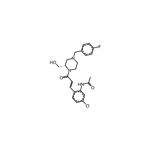 CC(=O)Nc1cc(Cl)ccc1C=CC(=O)N1CCN(Cc2ccc(F)cc2)C[C@H]1CO